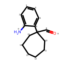 Nc1ccccc1C1(C=O)CCCCCC1